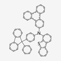 c1ccc(C2(c3ccc(N(c4ccc5c6ccccc6c6ccccc6c5c4)c4cccc5c4sc4ccccc45)cc3)c3ccccc3-c3ccccc32)cc1